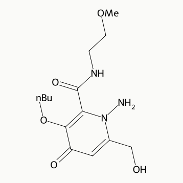 CCCCOc1c(C(=O)NCCOC)n(N)c(CO)cc1=O